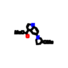 COC(=O)c1ccnc2ccc(N3CCC[C@H](OC)C3)cc12